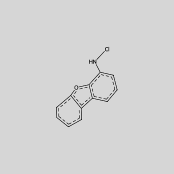 ClNc1cccc2c1oc1ccccc12